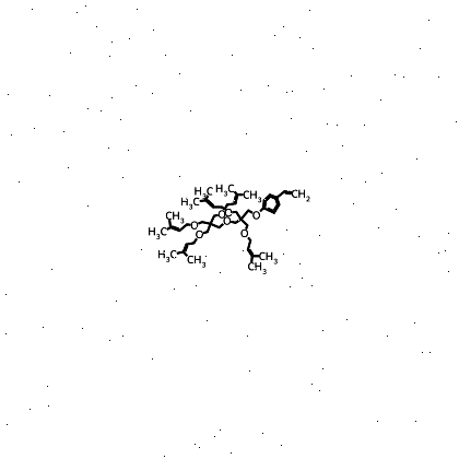 C=Cc1ccc(OCC(COCC=C(C)C)(COCC=C(C)C)COCC(COCC=C(C)C)(COCC=C(C)C)COCC=C(C)C)cc1